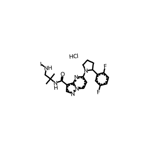 CC(C)(CNI)NC(=O)c1cnn2ccc(N3CCCC3c3cc(F)ccc3F)nc12.Cl